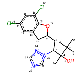 CC(C)(C)C(C)(O)C(CC1Cc2cc(Cl)cc(Cl)c2O1)n1cncn1